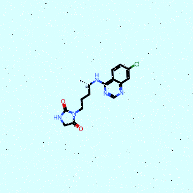 C[C@@H](CCCN1C(=O)CNC1=O)Nc1ncnc2cc(Cl)ccc12